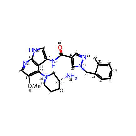 COc1cnc2[nH]cc(NC(=O)c3cnn(Cc4ccccc4C)c3)c2c1N1CCC[C@@H](N)C1